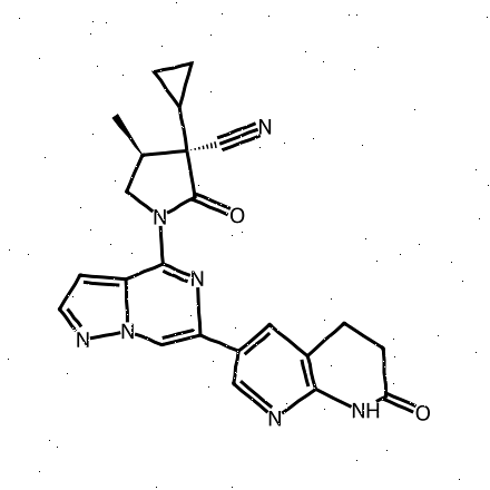 C[C@@H]1CN(c2nc(-c3cnc4c(c3)CCC(=O)N4)cn3nccc23)C(=O)[C@]1(C#N)C1CC1